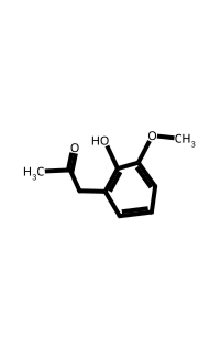 COc1cccc(CC(C)=O)c1O